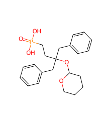 O=P(O)(O)CCC(Cc1ccccc1)(Cc1ccccc1)OC1CCCCO1